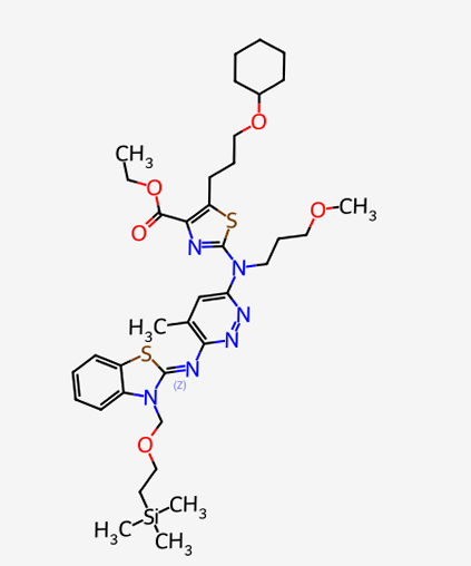 CCOC(=O)c1nc(N(CCCOC)c2cc(C)c(/N=c3\sc4ccccc4n3COCC[Si](C)(C)C)nn2)sc1CCCOC1CCCCC1